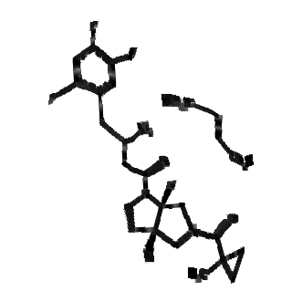 CC1(C(=O)N2C[C@@H]3CCN(C(=O)CC(N)Cc4cc(F)c(F)cc4F)[C@@H]3C2)CC1.O=C(O)C=CC(=O)O